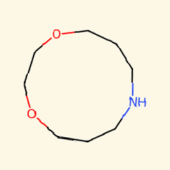 C1CNCCCOCCOC1